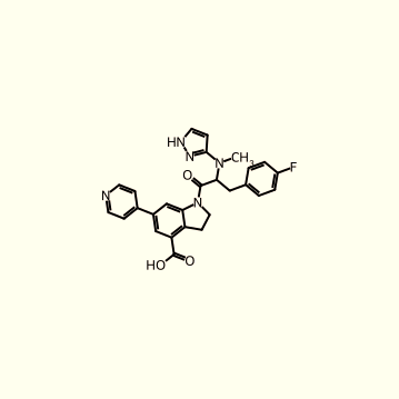 CN(c1cc[nH]n1)C(Cc1ccc(F)cc1)C(=O)N1CCc2c(C(=O)O)cc(-c3ccncc3)cc21